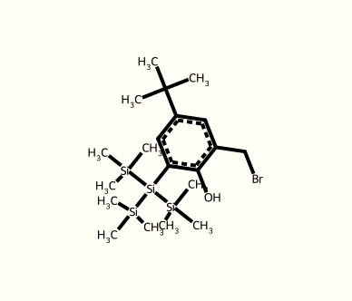 CC(C)(C)c1cc(CBr)c(O)c([Si]([Si](C)(C)C)([Si](C)(C)C)[Si](C)(C)C)c1